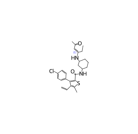 C=Cc1c(C)sc(C(=O)NC2CCCC(N/C(=C/C(C)=O)CC)C2)c1-c1ccc(Cl)cc1